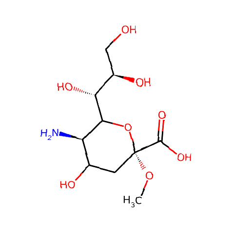 CO[C@]1(C(=O)O)CC(O)[C@@H](N)C([C@H](O)[C@H](O)CO)O1